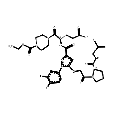 CCOC(=O)N1CCN(C(=O)[C@H](CCC(=O)O)NC(=O)c2cc(OCC(=O)N3CCC[C@H]3C(=O)NCC(F)F)n(-c3ccc(F)c(F)c3)n2)CC1